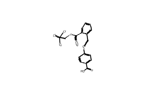 O=C(O)c1ccc(SCc2ccccc2C(=O)OCC(Cl)(Cl)Cl)cc1